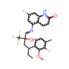 CCC(CC(O)(/C=N/c1cc(F)cc2[nH]c(=O)ccc12)C(F)(F)F)c1ccc(C)c(F)c1OC